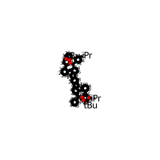 CC(C)c1ccc(C(Cc2ccccc2)c2ccc3c4cc5c(cc4n4c6cccc(-c7ccc(C(C)(C)C)cc7)c6c2c34)c2ccc(N(c3ccccc3)c3ccc(C(C)C)cc3)c3c4c(-c6ccc(C(C)(C)C)cc6)cccc4n5c23)cc1